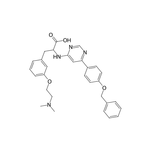 CN(C)CCOc1cccc(CC(Nc2cc(-c3ccc(OCc4ccccc4)cc3)ncn2)C(=O)O)c1